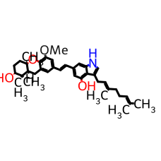 COc1cc(/C=C/c2cc(O)c3c(C/C=C(\C)CCC=C(C)C)c[nH]c3c2)cc2c1O[C@]1(C)CC[C@@H](O)C(C)(C)[C@H]1C2